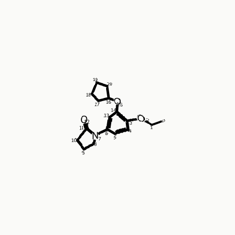 CCOc1ccc(N2CCCC2=O)cc1OC1CCCC1